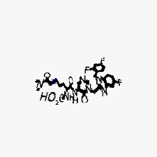 CN(C)C(=O)/C=C/CCC(NC(=O)O)C(=O)Nc1cncn(Cc2nc3cc(F)ccc3n2Cc2ccc(F)cc2F)c1=O